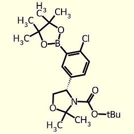 CC(C)(C)OC(=O)N1[C@@H](c2ccc(Cl)c(B3OC(C)(C)C(C)(C)O3)c2)COC1(C)C